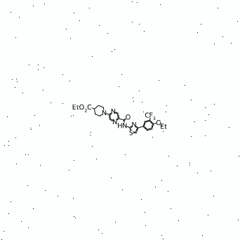 CCOC(=O)C1CCN(c2cnc(C(=O)Nc3nc(-c4ccc(OCC)c(C(F)(F)F)c4)cs3)cn2)CC1